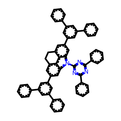 c1ccc(-c2cc(-c3ccccc3)cc(-c3cc4c5c6c(cc(-c7cc(-c8ccccc8)cc(-c8ccccc8)c7)cc6n(-c6nc(-c7ccccc7)nc(-c7ccccc7)n6)c5c3)CC4)c2)cc1